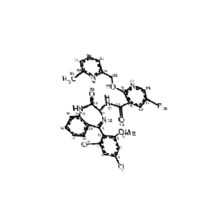 COc1cc(Cl)cc(Cl)c1C1=NC(NC(=O)c2cc(F)cnc2OCc2cccc(C)n2)C(=O)Nc2ccccc21